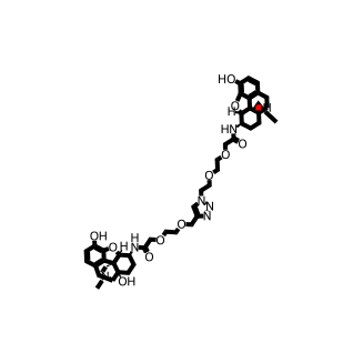 CN1CC[C@]23c4c5ccc(O)c4O[C@H]2[C@@H](NC(=O)COCCOCc2cn(CCOCCOCC(=O)N[C@@H]4CC[C@@]6(O)C7Cc8ccc(O)c9c8[C@@]6(CCN7C)[C@H]4O9)nn2)CC[C@@]3(O)C1C5